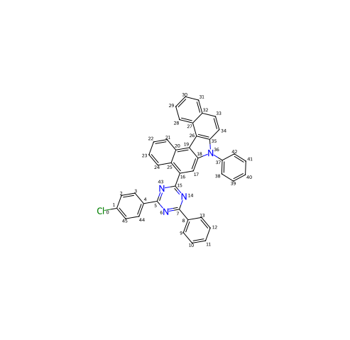 Clc1ccc(-c2nc(-c3ccccc3)nc(-c3cc4c(c5ccccc35)c3c5ccccc5ccc3n4-c3ccccc3)n2)cc1